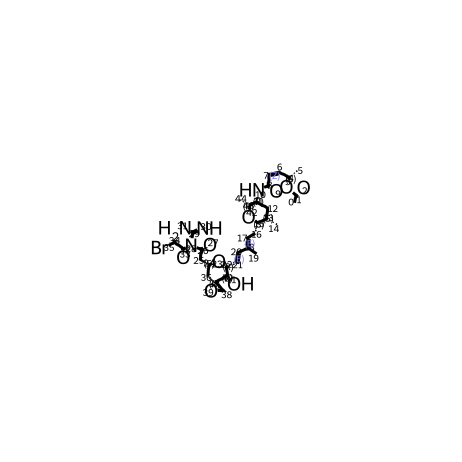 CC(=O)O[C@@H](C)/C=C\C(=O)N[C@@H]1C[C@H](C)[C@H](C/C=C(C)/C=C/[C@H]2O[C@H](CC(=O)N(C(=N)N)C(=O)CBr)C[C@@]3(CO3)[C@@H]2O)O[C@@H]1C